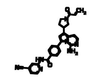 C=CC(=O)N1CCC(c2cc(-c3ccc(C(=O)Nc4cc(C#N)ccn4)cc3)n3c(N)nccc23)C1